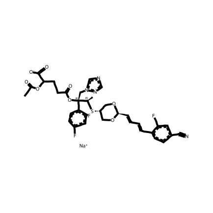 CC(=O)OC(CCC(=O)O[C@@](Cn1cncn1)(c1ccc(F)cc1F)[C@@H](C)S[C@H]1CO[C@H](C=CC=Cc2ccc(C#N)cc2F)OC1)C(=O)[O-].[Na+]